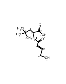 CC(C)(C)CC(NC(=O)C=CCO)C(=O)O